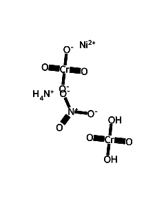 O=[N+]([O-])[O-].[NH4+].[Ni+2].[O]=[Cr](=[O])([O-])[O-].[O]=[Cr](=[O])([OH])[OH]